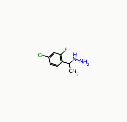 CC(NN)c1ccc(Cl)cc1F